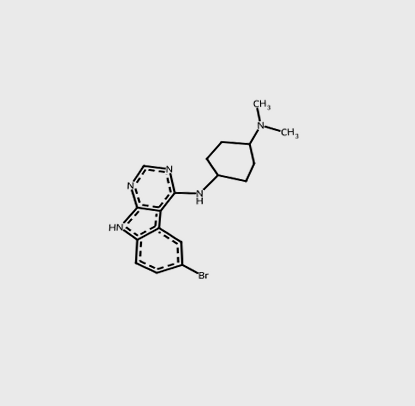 CN(C)C1CCC(Nc2ncnc3[nH]c4ccc(Br)cc4c23)CC1